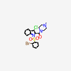 CN1CCN(C(=O)c2c(Cl)c3ccccc3n2S(=O)(=O)c2ccccc2Br)CC1